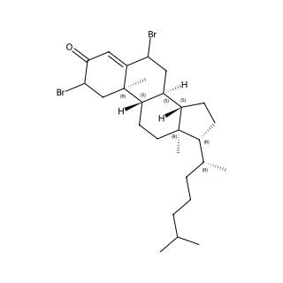 CC(C)CCC[C@@H](C)[C@H]1CC[C@H]2[C@@H]3CC(Br)C4=CC(=O)C(Br)C[C@]4(C)[C@H]3CC[C@]12C